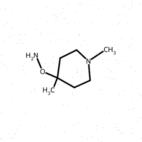 CN1CCC(C)(ON)CC1